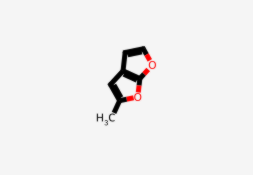 Cc1cc2ccoc2o1